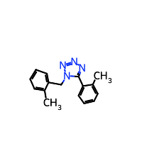 Cc1ccccc1Cn1nnnc1-c1ccccc1C